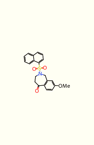 COc1ccc2c(c1)CN(S(=O)(=O)c1cccc3ccccc13)CCC2=O